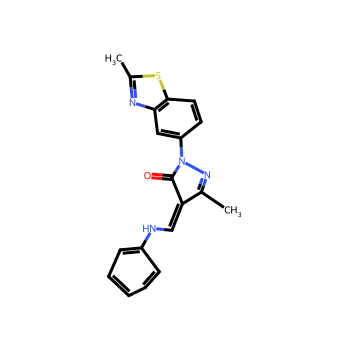 CC1=NN(c2ccc3sc(C)nc3c2)C(=O)C1=CNc1ccccc1